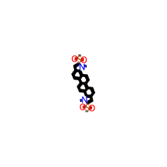 Cn1c(S(C)(=O)=O)cc2ccc3c4ccc5c(ccc6cc(S(C)(=O)=O)n(C)c65)c4ccc3c21